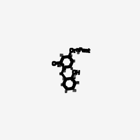 CCCCCOc1ccn(Cc2ccccc2O)c(=O)c1